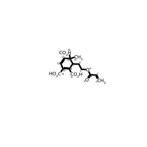 C=CC(=O)OCCC1C(C(=O)O)=C(C(=O)O)C=CC1(C)C(=O)O